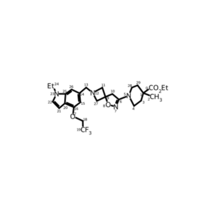 CCOC(=O)C1(C)CCN(C2=NOC3(C2)CN(Cc2cc(OCC(F)(F)F)c4ccn(CC)c4c2)C3)CC1